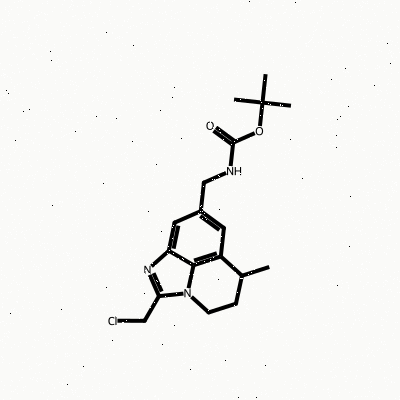 CC1CCn2c(CCl)nc3cc(CNC(=O)OC(C)(C)C)cc1c32